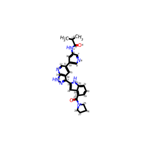 CC(C)C(=O)Nc1cncc(-c2cnc3[nH]nc(-c4cc5c(C(=O)N6CCCC6)cccc5[nH]4)c3c2)c1